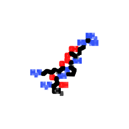 CC(N)C(O)C(=O)N[C@@H](CCCCN)C(=O)N1CCC[C@H]1C(=O)N[C@@H](CCCNC(=N)N)C(=O)O